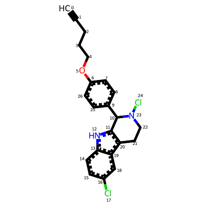 C#CCCCOc1ccc(C2c3[nH]c4ccc(Cl)cc4c3CCN2Cl)cc1